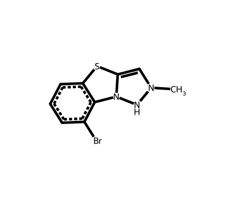 CN1C=C2Sc3cccc(Br)c3N2N1